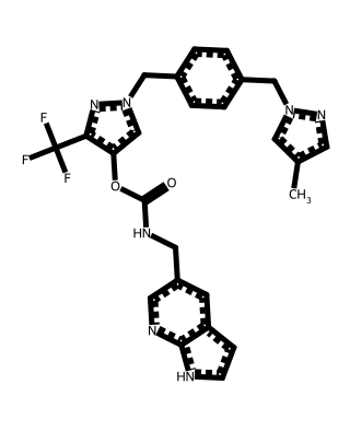 Cc1cnn(Cc2ccc(Cn3cc(OC(=O)NCc4cnc5[nH]ccc5c4)c(C(F)(F)F)n3)cc2)c1